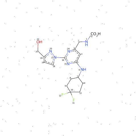 O=C(O)NCc1cc(NC2CCC(F)(F)CC2)nc(-n2ccc(CO)n2)n1